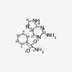 NS(=O)(=O)c1ccccc1.Nc1ncc2nc[nH]c2n1